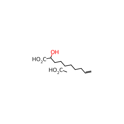 C=CCCCCCCC(O)C(=O)O.CC(=O)O